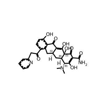 CN(C)[C@H]1C(O)=C(C(N)=O)C(=O)[C@@]2(O)C(O)=C3C(=O)c4c(O)ccc(C(=O)Cc5ccccn5)c4C[C@@H]3C[C@H]12